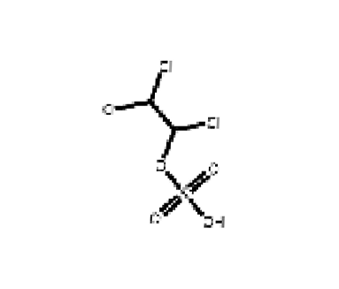 O=S(=O)(O)OC(Cl)C(Cl)Cl